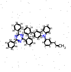 C=CCc1cccc(-n2c3ccccc3c3cc(-c4ccccc4-c4ccccc4-c4nc(-c5ccccc5)nc(-c5ccccc5)n4)ccc32)c1